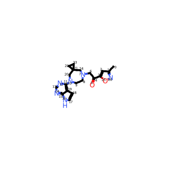 Cc1cc(C(=O)CN2CCN(c3ncnc4[nH]ccc34)CC3(CC3)C2)on1